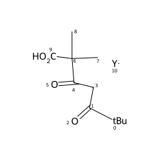 CC(C)(C)C(=O)CC(=O)C(C)(C)C(=O)O.[Y]